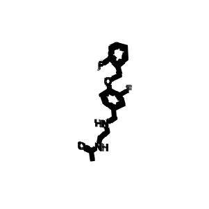 CC(=O)NCCNCc1ccc(OCc2ccccc2F)c(F)c1